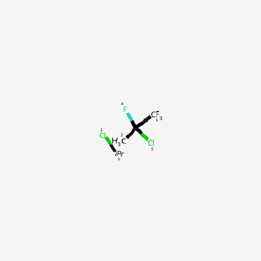 CC(C)Cl.CC(F)(Cl)C(F)(F)F